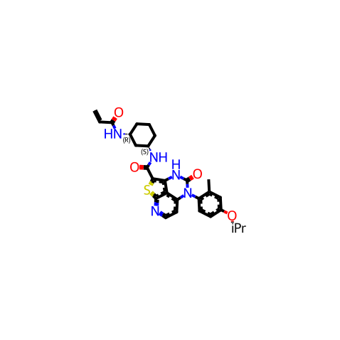 C=CC(=O)N[C@@H]1CCC[C@H](NC(=O)c2sc3nccc4c3c2NC(=O)N4c2ccc(OC(C)C)cc2C)C1